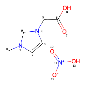 CN1C=CN(CC(=O)O)C1.O=[N+]([O-])O